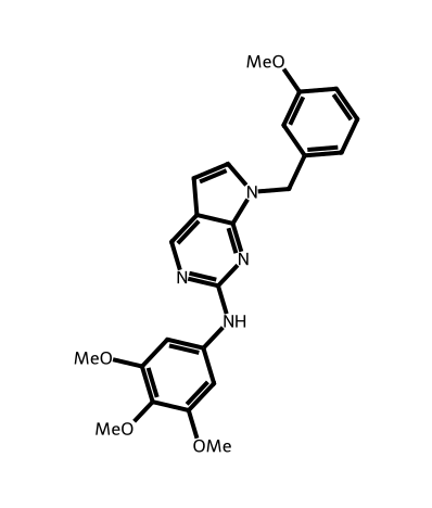 COc1cccc(Cn2ccc3cnc(Nc4cc(OC)c(OC)c(OC)c4)nc32)c1